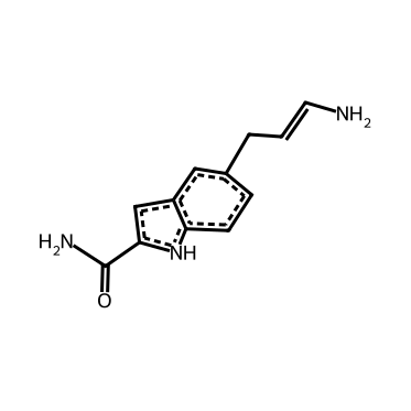 NC=CCc1ccc2[nH]c(C(N)=O)cc2c1